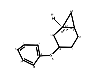 C[C@]12CCC(Sc3ccccc3)C[C@H]1C2